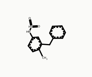 Cc1ccc(N[SH](=O)=O)cc1Cc1ccccc1